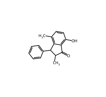 Cc1ccc(O)c2c1C(c1ccccc1)C(C)C2=O